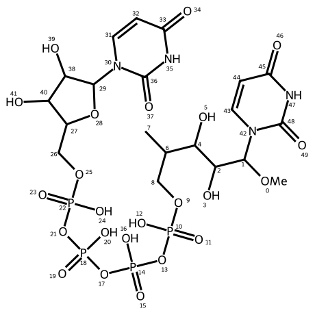 COC(C(O)C(O)C(C)COP(=O)(O)OP(=O)(O)OP(=O)(O)OP(=O)(O)OCC1OC(n2ccc(=O)[nH]c2=O)C(O)C1O)n1ccc(=O)[nH]c1=O